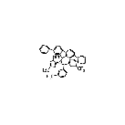 CCCC1C=C(C(C)(C)C)C=[C]1[Zr](=[C](c1cccc(C(F)(F)F)c1)c1cccc(C(F)(F)F)c1)[CH]1c2cc(-c3ccccc3)ccc2-c2ccc(-c3ccccc3)cc21